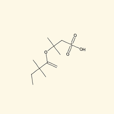 C=C(OC(C)(C)CS(=O)(=O)O)C(C)(C)CC